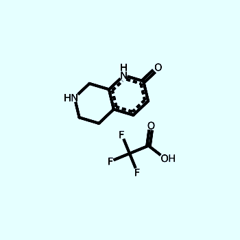 O=C(O)C(F)(F)F.O=c1ccc2c([nH]1)CNCC2